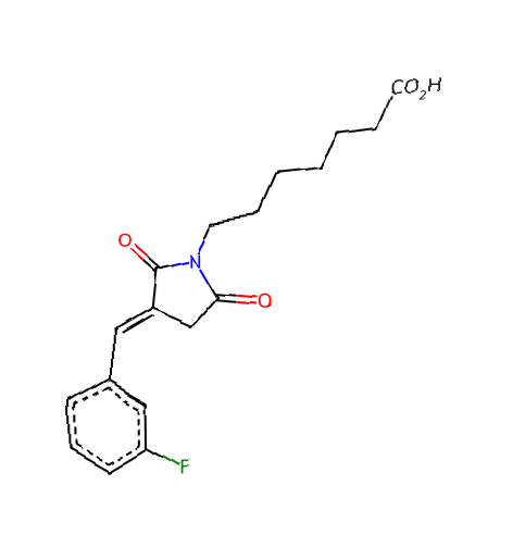 O=C(O)CCCCCCN1C(=O)C/C(=C\c2cccc(F)c2)C1=O